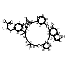 C[C@@H](Cc1cccc(C2(C)CCC(F)(F)COc3ccnn3Cc3c(c(F)cc4[nH]ccc34)Oc3ccnc(c3)-c3nc2nn3C)c1)C(=O)O